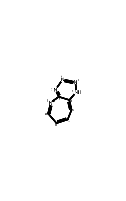 C1=CC=C2NN=NN=C2N=C1